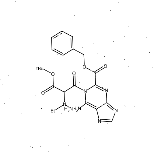 CCN(N)C(C(=O)OC(C)(C)C)C(=O)n1c(C(=O)OCc2ccccc2)nc2ncnc-2c1N